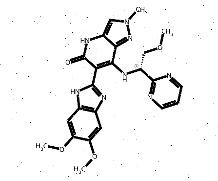 COC[C@@H](Nc1c(-c2nc3cc(OC)c(OC)cc3[nH]2)c(=O)[nH]c2cn(C)nc12)c1ncccn1